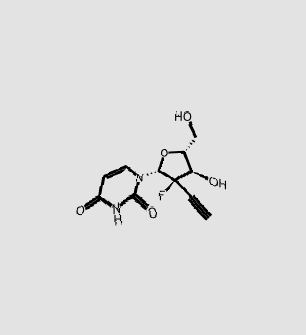 C#C[C@@]1(F)[C@H](O)[C@@H](CO)O[C@H]1n1ccc(=O)[nH]c1=O